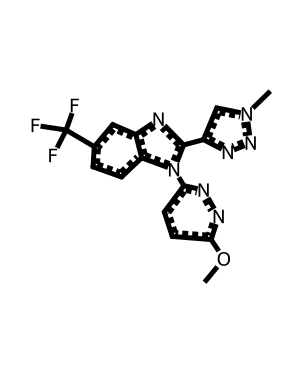 COc1ccc(-n2c(-c3cn(C)nn3)nc3cc(C(F)(F)F)ccc32)nn1